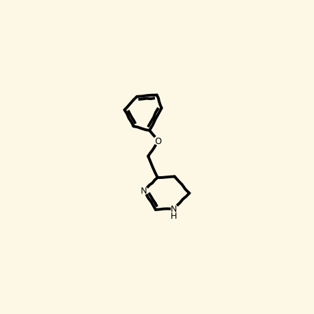 C1=NC(COc2ccccc2)CCN1